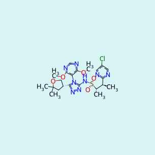 COc1ncnc(OC)c1-n1c(NS(=O)(=O)[C@@H](C)[C@H](C)c2ncc(Cl)cn2)nnc1[C@H]1COC(C)(C)C1